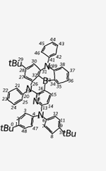 CC(C)(C)c1ccc(N(c2ccc(C(C)(C)C)cc2)c2ccc3c(n2)N(c2ccccc2)c2cc(C(C)(C)C)cc4c2B3c2ccccc2N4c2ccccc2)cc1